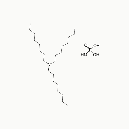 CCCCCCCCN(CCCCCCCC)CCCCCCCC.O=P(O)(O)O